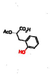 CC(=O)O[C@@H](Cc1ccccc1O)C(=O)O